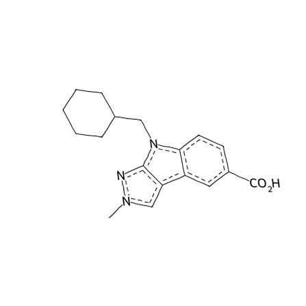 Cn1cc2c3cc(C(=O)O)ccc3n(CC3CCCCC3)c2n1